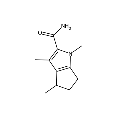 Cc1c2c(n(C)c1C(N)=O)CCC2C